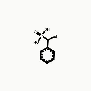 [CH2]CC(c1ccccc1)P(=O)(O)O